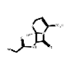 CC(=O)CC(=O)N[C@@H]1C(=O)N2C(C(=O)O)=CCS[C@H]12